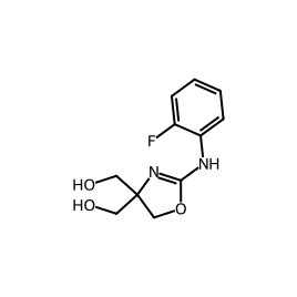 OCC1(CO)COC(Nc2ccccc2F)=N1